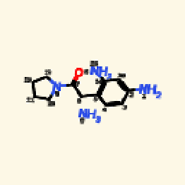 N.Nc1ccc(CC(=O)N2CCCC2)c(N)c1